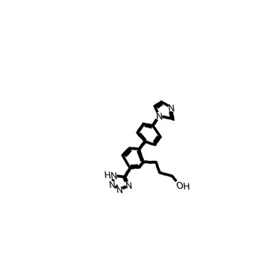 OCCCc1cc(-c2nnn[nH]2)ccc1-c1ccc(-n2ccnc2)cc1